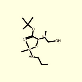 CCCB[Si](C)(C)ON(C(=O)OC(C)(C)C)[C@@H](C)CO